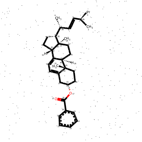 CC(C)[C@@H](C)C=C[C@@H](C)[C@H]1CC[C@H]2C3=CC=C4C[C@@H](OC(=O)c5ccccc5)CC[C@@]4(C)[C@@H]3CC[C@]12C